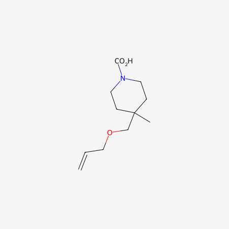 C=CCOCC1(C)CCN(C(=O)O)CC1